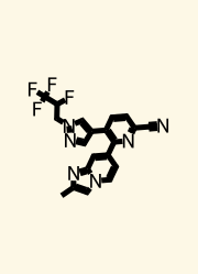 Cc1cn2ccc(-c3nc(C#N)ccc3-c3cnn(CC(F)C(F)(F)F)c3)cc2n1